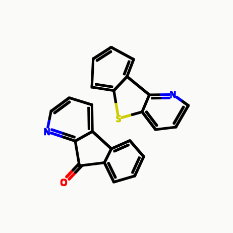 O=C1c2ccccc2-c2cccnc21.c1ccc2c(c1)sc1cccnc12